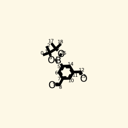 CC1(C)OB(c2cc(C=O)cc(C=O)c2)OC1(C)C